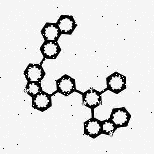 c1ccc(-c2nc(-c3cccc(-c4cccc5oc6ccc(-c7ccc8c(ccc9ccccc98)c7)cc6c45)c3)nc(-c3cccc4oc5ccccc5c34)n2)cc1